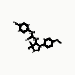 COc1ccc(C2COC(C)(C)C2NC(=O)Nc2ccc(F)cc2)cc1